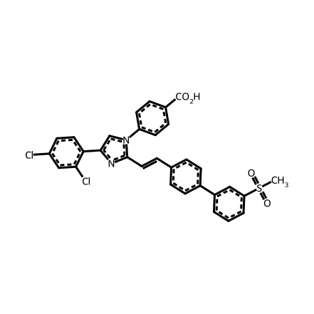 CS(=O)(=O)c1cccc(-c2ccc(/C=C/c3nc(-c4ccc(Cl)cc4Cl)cn3-c3ccc(C(=O)O)cc3)cc2)c1